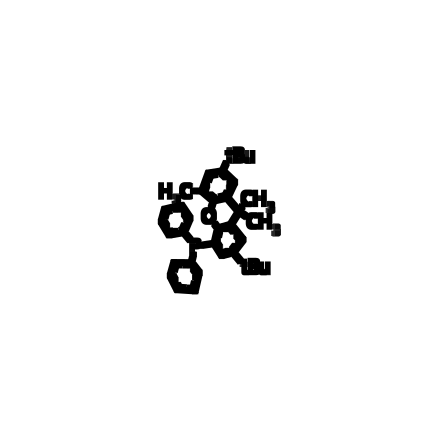 Cc1cc(C(C)(C)C)cc2c1Oc1c(P(c3ccccc3)c3ccccc3)cc(C(C)(C)C)cc1C2(C)C